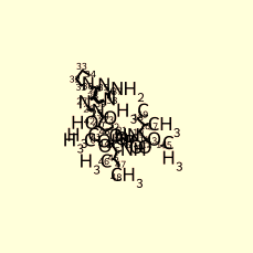 CCOC(=O)[C@@H](NP(=O)(N[C@H](C(=O)OCC)C(C)CC)OC[C@H]1OC(n2cnc3c(N4CCCC4)nc(N)nc32)C(C)(O)C1O)C(C)CC